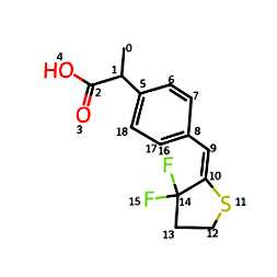 CC(C(=O)O)c1ccc(C=C2SCCC2(F)F)cc1